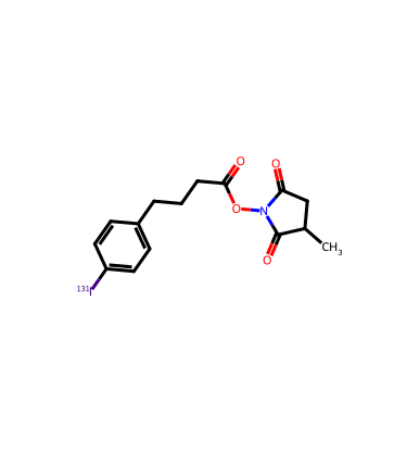 CC1CC(=O)N(OC(=O)CCCc2ccc([131I])cc2)C1=O